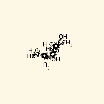 CCN(CCO)c1ccc(/N=C2\C=C(Nc3ccc(N(CC)CCO)cc3C)C(=O)C=C2O)c(C)c1